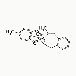 Cc1ccc(S(=O)(=O)N2C3Cc4ccccc4CC2(C)c2ccccc23)cc1